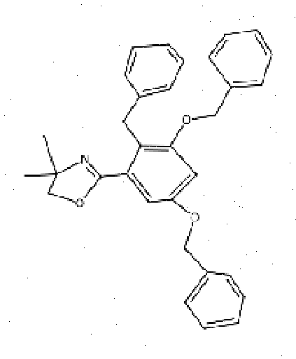 CC1(C)COC(c2cc(OCc3ccccc3)cc(OCc3ccccc3)c2Cc2ccccc2)=N1